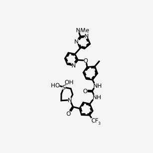 CNc1nccc(-c2cccnc2Oc2ccc(NC(=O)Nc3cc(C(=O)N4CCS(O)(O)CC4)cc(C(F)(F)F)c3)cc2C)n1